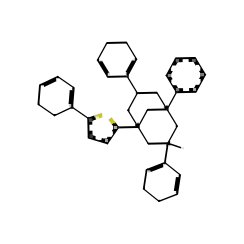 CC1(C2=CCCC=C2)CC2(c3ccccc3)CC(C3=CCCC=C3)CC(c3ccc(C4=CC=CCC4)s3)(C1)C2